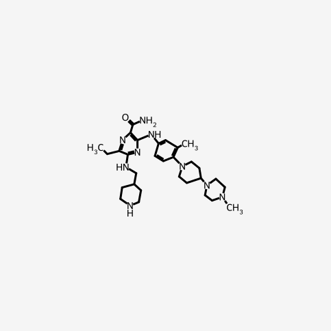 CCc1nc(C(N)=O)c(Nc2ccc(N3CCC(N4CCN(C)CC4)CC3)c(C)c2)nc1NCC1CCNCC1